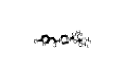 CC(C)(C)OC(=O)N1CCN(C(=O)Cc2ccc(Cl)nc2)CC1